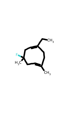 CC/C1=C/CC(C)(F)C/C=C(\C)CC1